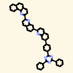 c1ccc(-c2nc(-c3ccccc3)nc(-c3ccc(-c4ccc5ccc(-c6ccc7ccc(-c8ccc9ccc%10ccccc%10c9n8)nc7c6)nc5c4)cc3)n2)cc1